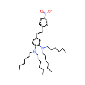 CCCCCCN(CCCCCC)c1ccc(C=Cc2ccc([N+](=O)[O-])cc2)cc1N(CCCCCC)CCCCCC